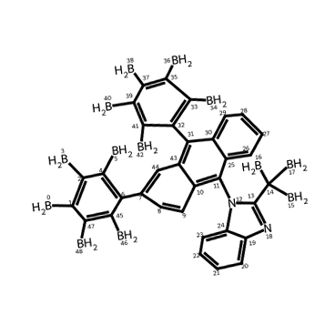 Bc1c(B)c(B)c(-c2ccc3c(-n4c(C(B)(B)B)nc5ccccc54)c4ccccc4c(-c4c(B)c(B)c(B)c(B)c4B)c3c2)c(B)c1B